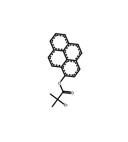 CCC(C)(C)C(=O)Oc1ccc2ccc3cccc4ccc1c2c34